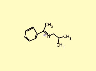 C/C(=N\CC(C)C)c1ccccc1